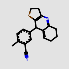 Cc1ccc(C2C3=CCCCC3=NC3=C2SCC3)cc1C#N